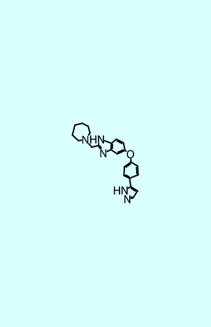 c1cc(-c2ccc(Oc3ccc4[nH]c(CN5CCCCCC5)nc4c3)cc2)[nH]n1